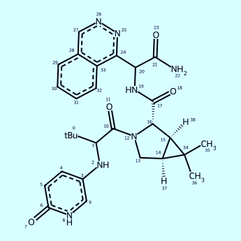 CC(C)(C)C(Nc1ccc(=O)[nH]c1)C(=O)N1C[C@H]2[C@@H]([C@H]1C(=O)NC(C(N)=O)c1nncc3ccccc13)C2(C)C